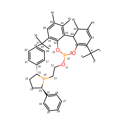 CC1=CC(C(C)(C)C)=C2OP(OCCP3[C@@H](c4ccccc4)CC[C@@H]3c3ccccc3)Oc3c(C(C)(C)C)cc(C)c(C)c3C2C1C